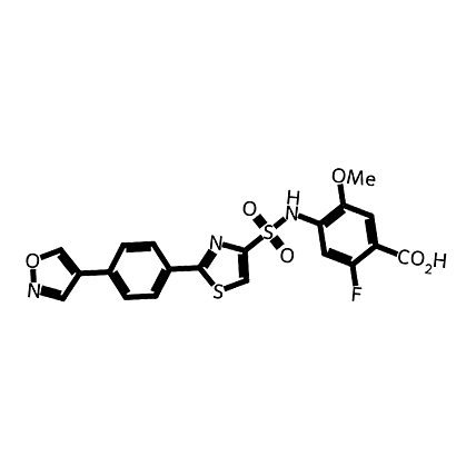 COc1cc(C(=O)O)c(F)cc1NS(=O)(=O)c1csc(-c2ccc(-c3cnoc3)cc2)n1